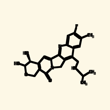 Cc1cc2c(CNC(C)C)c3c(nc2cc1F)-c1cc2c(c(=O)n1C3)COC(O)[C@H]2O